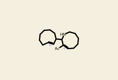 CC(=O)/C1=C/CCCCCNC1C1/C=C/CCCCCC1